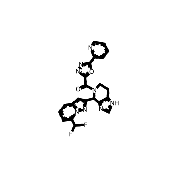 O=C(c1nnc(-c2ccccn2)o1)N1CCc2[nH]cnc2C1c1cc2cccc(C(F)F)n2n1